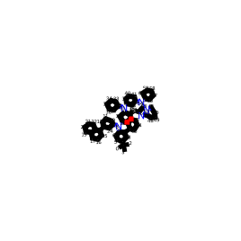 CC(C)(C)c1ccc(N(c2cccc(-c3cccc4ccccc34)c2)c2ccc3c(c2)N(c2ccccc2)c2cccc4c2B3c2nc3ccccn3c2N4c2ccccc2)c(-c2ccccc2)c1